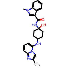 Cn1cc(C(=O)NC2(O)CCC(Nc3cccc4nc(C(F)(F)F)cn34)CC2)c2ccccc21